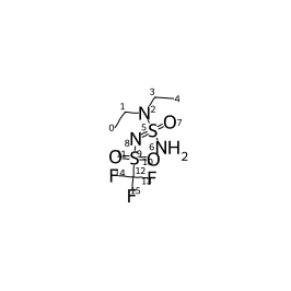 CCN(CC)S(N)(=O)=NS(=O)(=O)C(F)(F)F